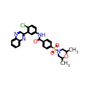 CC1CN(S(=O)(=O)c2ccc(C(=O)Nc3ccc(Cl)c(-c4cnc5ccccc5n4)c3)cc2)CC(C)O1